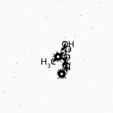 Cc1ccc(OCC(=O)O)c(C(=O)c2cnn(-c3ccccc3)c2)c1